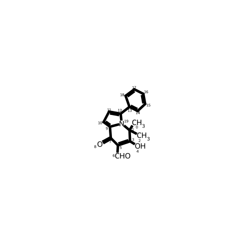 CC1(C)C(O)=C(C=O)C(=O)c2ccc(-c3ccccc3)n21